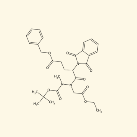 CCOC(=O)CN(C(=O)[C@H](CCC(=O)OCc1ccccc1)N1C(=O)c2ccccc2C1=O)N(C)C(=O)OC(C)(C)C